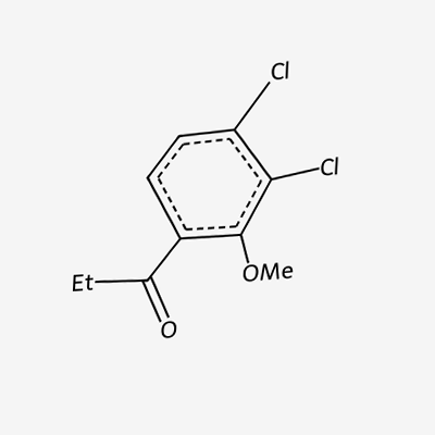 CCC(=O)c1ccc(Cl)c(Cl)c1OC